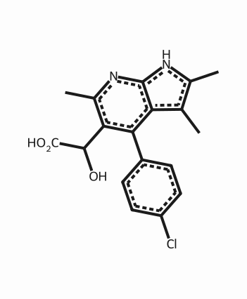 Cc1nc2[nH]c(C)c(C)c2c(-c2ccc(Cl)cc2)c1C(O)C(=O)O